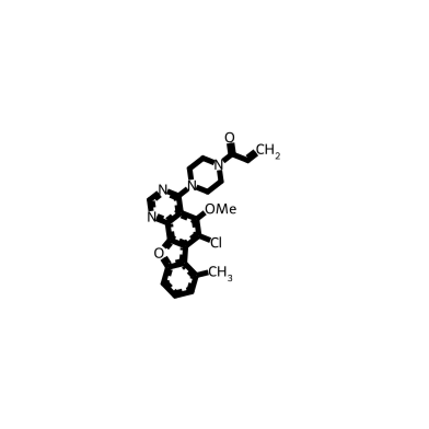 C=CC(=O)N1CCN(c2ncnc3c2c(OC)c(Cl)c2c3oc3cccc(C)c32)CC1